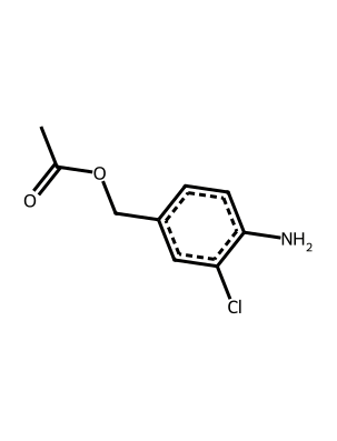 CC(=O)OCc1ccc(N)c(Cl)c1